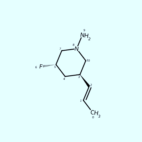 C/C=C/[C@H]1C[C@H](F)CN(N)C1